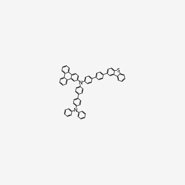 c1ccc(N(c2ccccc2)c2ccc(-c3ccc(N(c4ccc(-c5ccc(-c6ccc7sc8ccccc8c7c6)cc5)cc4)c4ccc5c6ccccc6c6ccccc6c5c4)cc3)cc2)cc1